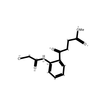 COC(=O)CCC(=O)c1ccccc1NC(=O)CCl